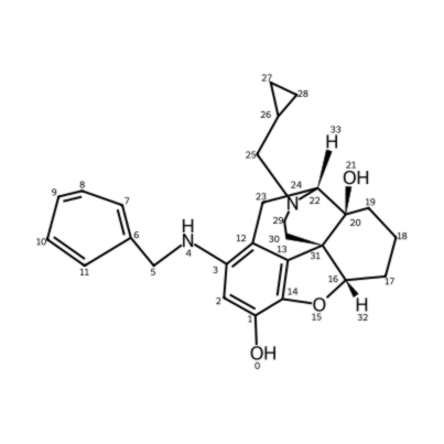 Oc1cc(NCc2ccccc2)c2c3c1O[C@H]1CCC[C@@]4(O)[C@@H](C2)N(CC2CC2)CC[C@]314